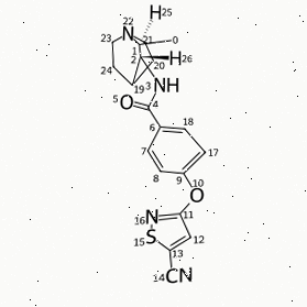 C[C@H]1[C@H](NC(=O)c2ccc(Oc3cc(C#N)sn3)cc2)C2CCN1CC2